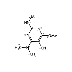 CCNc1nc(OC)c(C#N)c(N(C)C)n1